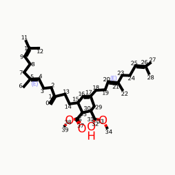 C=C(CC/C=C(\C)CCC=C(C)C)CCC1C=C(CC/C=C(\C)CCC=C(C)C)CC(C(O)OC)C1C(=O)OC